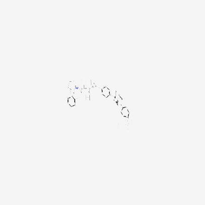 Cc1cccc(C)c1N1CCS/C1=N\C(O)NC1CC1c1ccc(-c2ncn(-c3ccc(OC(F)(F)F)cc3)n2)cc1